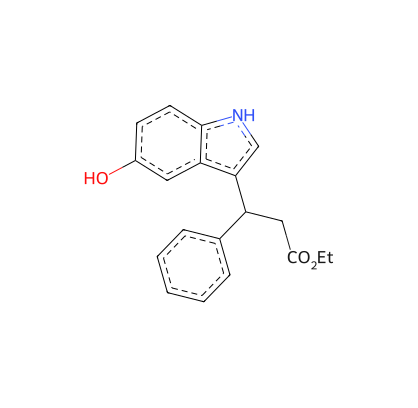 CCOC(=O)CC(c1ccccc1)c1c[nH]c2ccc(O)cc12